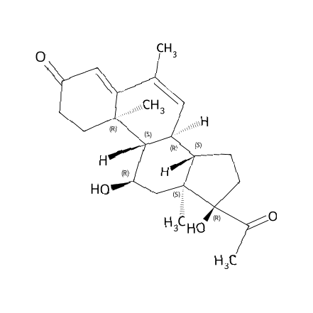 CC(=O)[C@@]1(O)CC[C@H]2[C@@H]3C=C(C)C4=CC(=O)CC[C@]4(C)[C@H]3[C@H](O)C[C@@]21C